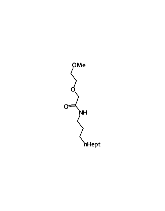 CCCCCCCCCCNC(=O)COCCOC